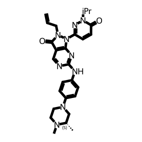 C=CCn1c(=O)c2cnc(Nc3ccc(N4CCN(C)[C@@H](C)C4)cc3)nc2n1-c1ccc(=O)n(C(C)C)n1